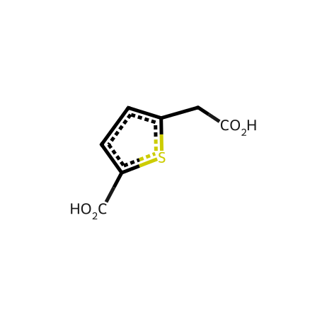 O=C(O)Cc1ccc(C(=O)O)s1